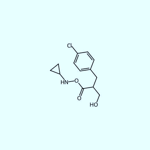 O=C(ONC1CC1)C(CO)Cc1ccc(Cl)cc1